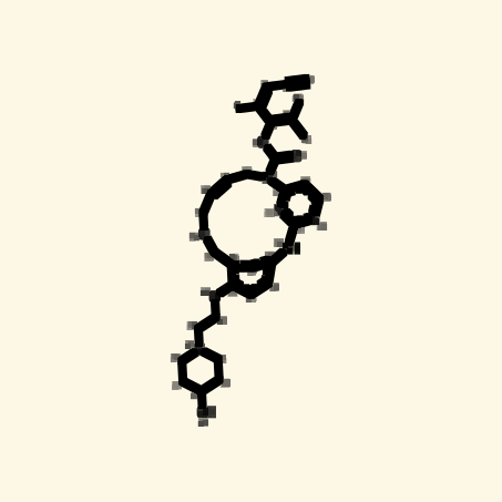 C#C/C=C(/C)C(OC(=O)N1C/C=C\COCc2cc(ccc2OCCN2CCC(O)CC2)Nc2nccc1n2)=C(C)C